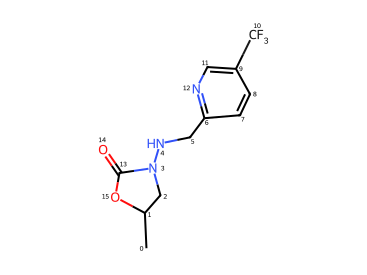 CC1CN(NCc2ccc(C(F)(F)F)cn2)C(=O)O1